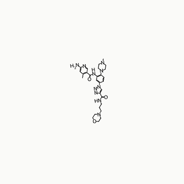 Cc1cc(N)ncc1C(=O)Nc1cc(-n2cc(C(=O)NCCCN3CCOCC3)nn2)ccc1N1CCN(C)CC1